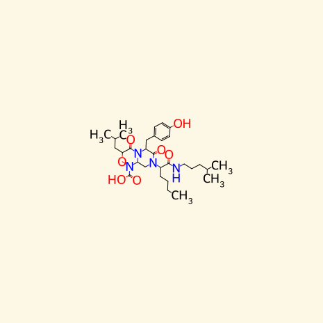 CCCCC(C(=O)NCCCC(C)C)N1CC2N(C(=O)O)OC(CC(C)C)C(=O)N2C(Cc2ccc(O)cc2)C1=O